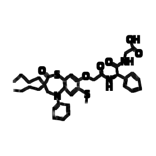 CCCCC1(CCCC)CN(c2ccccc2)c2cc(SC)c(OCC(=O)N[C@@H](C(=O)NCC(=O)O)c3ccccc3)cc2SC1=O